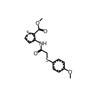 COC(=O)c1sccc1NC(=O)CSc1ccc(OC)cc1